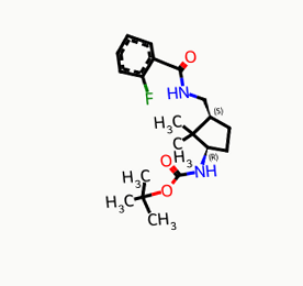 CC(C)(C)OC(=O)N[C@@H]1CC[C@H](CNC(=O)c2ccccc2F)C1(C)C